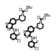 CC(C)(C)OC(=O)N1CCCC(c2ccc3ncnc(Nc4cccc(Cl)c4F)c3c2)C1.CC(C)(C)OC(=O)N1CCC[C@@H](c2ccc3ncnc(Nc4cccc(Cl)c4F)c3c2)C1